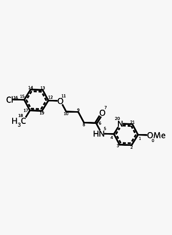 COc1ccc(NC(=O)CCCOc2ccc(Cl)c(C)c2)nc1